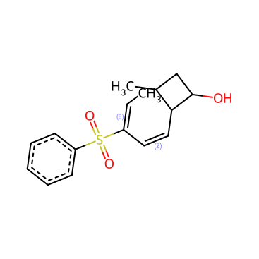 C/C=C(\C=C/C1C(C)CC1O)S(=O)(=O)c1ccccc1